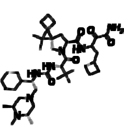 C[C@H]1CN(C[C@@H](NC(=O)N[C@H](C(=O)N2C[C@]3(C[C@H]2C(=O)NC(CC2CCC2)C(=O)C(N)=O)C(C)(C)C32CCC2)C(C)(C)C)C2CCCCC2)C[C@H](C)N1C